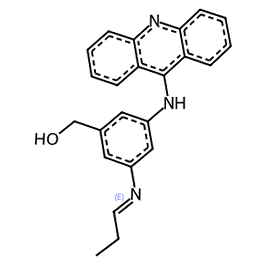 CC/C=N/c1cc(CO)cc(Nc2c3ccccc3nc3ccccc23)c1